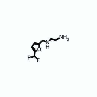 NCCNCc1ccc(C(F)F)o1